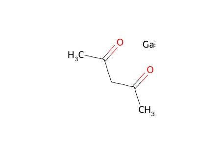 CC(=O)CC(C)=O.[Ga]